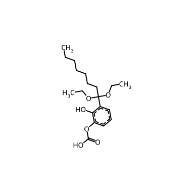 CCCCCCCC(OCC)(OCC)c1cccc(OC(=O)O)c1O